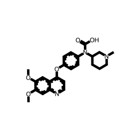 COc1cc2nccc(Oc3ccc(N(C(=O)O)C4CCCN(C)C4)cc3)c2cc1OC